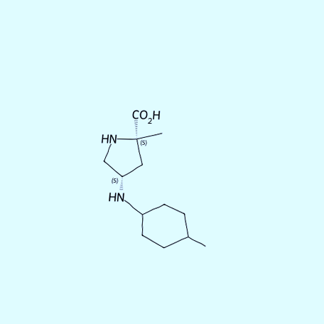 CC1CCC(N[C@@H]2CN[C@](C)(C(=O)O)C2)CC1